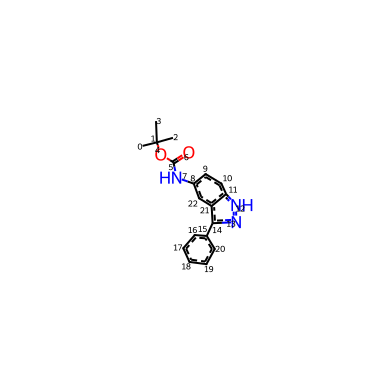 CC(C)(C)OC(=O)Nc1ccc2[nH]nc(-c3ccccc3)c2c1